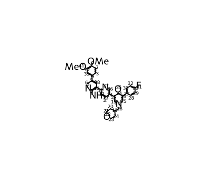 COc1ccc(-c2cnc(N)c(-c3ccc(-c4cn(CC5CCOCC5)cc(-c5ccc(F)cc5)c4=O)cn3)c2)cc1OC